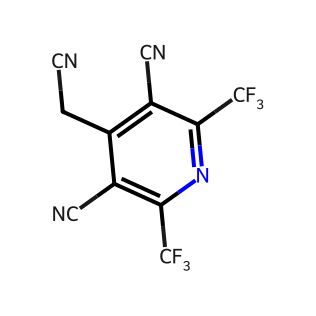 N#CCc1c(C#N)c(C(F)(F)F)nc(C(F)(F)F)c1C#N